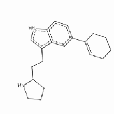 C1=C(c2ccc3[nH]cc(CCC4CCCN4)c3c2)CCCC1